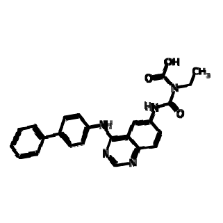 CCN(C(=O)O)C(=O)Nc1ccc2ncnc(Nc3ccc(-c4ccccc4)cc3)c2c1